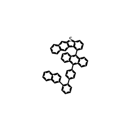 c1ccc(-c2ccc3ccccc3c2)c(-c2ccc(-c3c4ccccc4c(-c4cccc5sc6cc7ccccc7cc6c45)c4ccccc34)cc2)c1